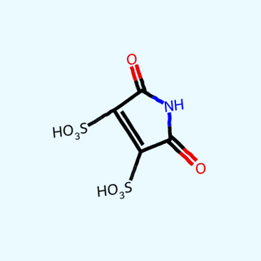 O=C1NC(=O)C(S(=O)(=O)O)=C1S(=O)(=O)O